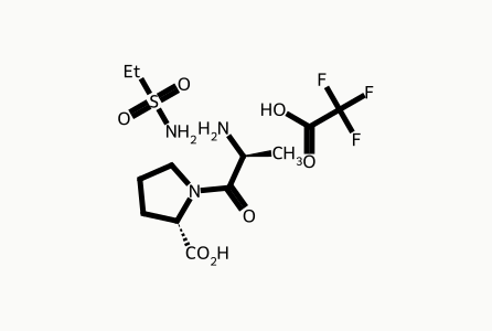 CCS(N)(=O)=O.C[C@H](N)C(=O)N1CCC[C@H]1C(=O)O.O=C(O)C(F)(F)F